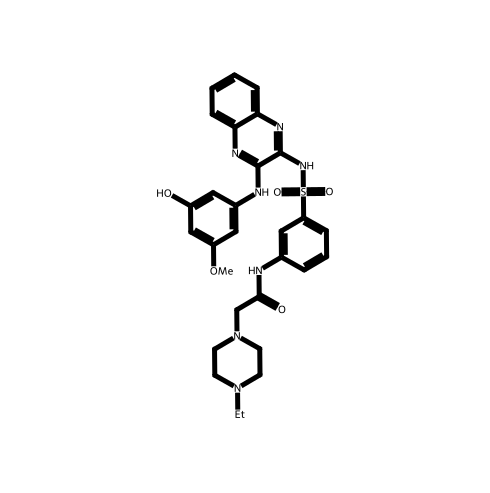 CCN1CCN(CC(=O)Nc2cccc(S(=O)(=O)Nc3nc4ccccc4nc3Nc3cc(O)cc(OC)c3)c2)CC1